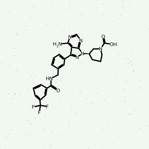 Nc1ncnc2c1c(-c1cccc(CNC(=O)c3cccc(C(F)(F)F)c3)c1)nn2[C@@H]1CCCN(C(=O)O)C1